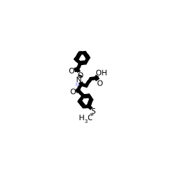 CSc1ccc(C(=O)/C(CCC(=O)O)=N/OC(=O)c2ccccc2)cc1